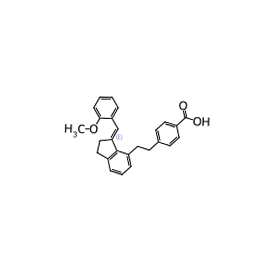 COc1ccccc1/C=C1\CCc2cccc(CCc3ccc(C(=O)O)cc3)c21